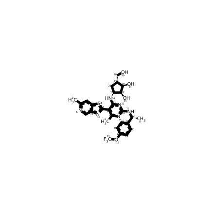 Cc1cc2sc(-c3c(C)nc(N[C@H](C)c4ccc(OC(F)(F)F)cc4)nc3N[C@@H]3C[C@H](CO)[C@@H](O)[C@H]3O)nc2cn1